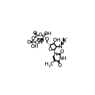 Cc1cn([C@@H]2O[C@H](COP(=O)(O)OP(=O)(O)OP(=O)(O)O)[C@@H](O)C2N=[N+]=[N-])c(=O)[nH]c1=O